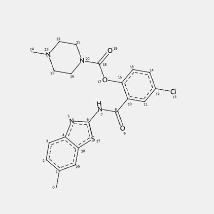 Cc1ccc2nc(NC(=O)c3cc(Cl)ccc3OC(=O)N3CCN(C)CC3)sc2c1